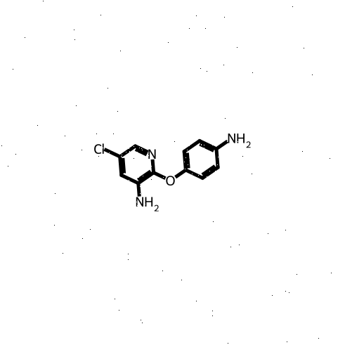 Nc1ccc(Oc2ncc(Cl)cc2N)cc1